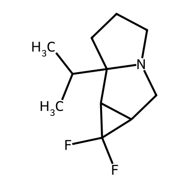 CC(C)C12CCCN1CC1C2C1(F)F